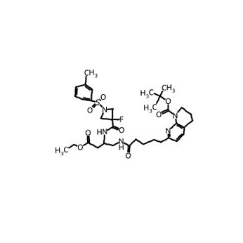 CCOC(=O)CC(CNC(=O)CCCCc1ccc2c(n1)N(C(=O)OC(C)(C)C)CCC2)NC(=O)C1(F)CN(S(=O)(=O)c2cccc(C)c2)C1